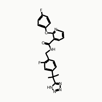 CC(C)(c1ccc(CNC(=O)c2cccnc2Oc2ccc(F)cc2)c(F)c1)c1nnn[nH]1